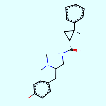 CN(C)C(CNC(=O)[C@@H]1C[C@]1(C)c1ccccc1)Cc1ccc(O)cc1